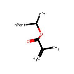 C=C(C)C(=O)OC(CCC)CCCCC